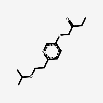 CCC(=O)COc1ccc(CCOC(C)C)nc1